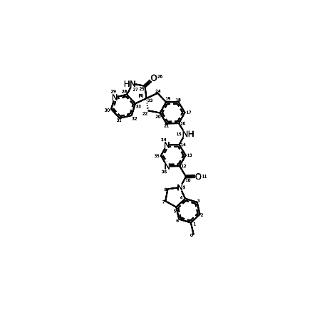 Cc1ccc2c(c1)CCN2C(=O)c1cc(Nc2ccc3c(c2)C[C@@]2(C3)C(=O)Nc3ncccc32)ncn1